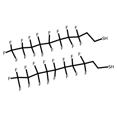 FC(F)(F)C(F)(F)C(F)(F)C(F)(F)C(F)(F)C(F)(F)C(F)(F)C(F)(F)CCS.FC(F)(F)C(F)(F)C(F)(F)C(F)(F)C(F)(F)C(F)(F)C(F)(F)C(F)(F)CCS